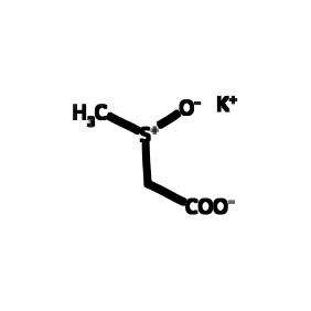 C[S+]([O-])CC(=O)[O-].[K+]